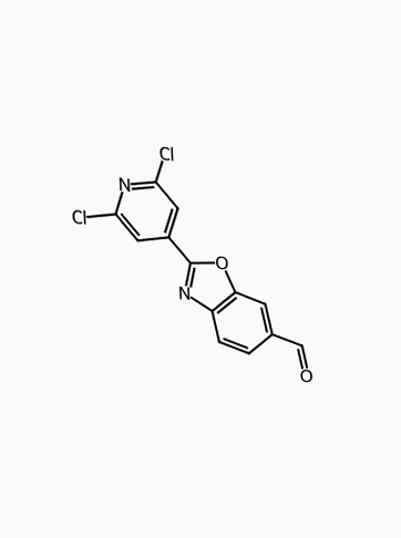 O=Cc1ccc2nc(-c3cc(Cl)nc(Cl)c3)oc2c1